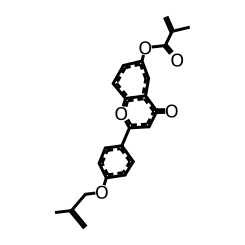 C=C(C)COc1ccc(-c2cc(=O)c3cc(OC(=O)C(=C)C)ccc3o2)cc1